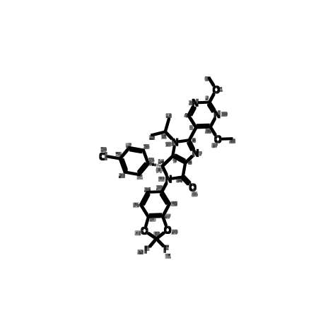 COc1ncc(-c2nc3c(n2C(C)C)[C@@H](c2ccc(Cl)cc2)N(c2ccc4c(c2)OC(F)(F)O4)C3=O)c(OC)n1